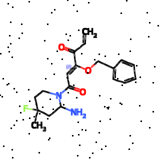 C=CC(=O)/C(=C/C(=O)N1CCC(C)(F)CC1N)OCc1ccccc1